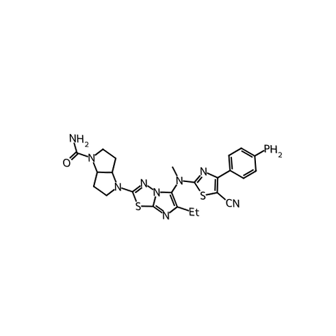 CCc1nc2sc(N3CCC4C3CCN4C(N)=O)nn2c1N(C)c1nc(-c2ccc(P)cc2)c(C#N)s1